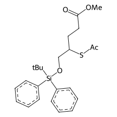 COC(=O)CCC(CO[Si](c1ccccc1)(c1ccccc1)C(C)(C)C)SC(C)=O